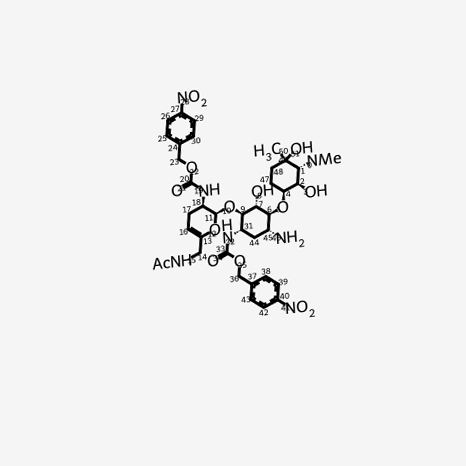 CN[C@@H]1[C@@H](O)[C@@H](O[C@@H]2[C@@H](O)[C@H](O[C@H]3OC(CNC(C)=O)=CC[C@H]3NC(=O)OCc3ccc([N+](=O)[O-])cc3)[C@@H](NC(=O)OCc3ccc([N+](=O)[O-])cc3)C[C@H]2N)CC[C@]1(C)O